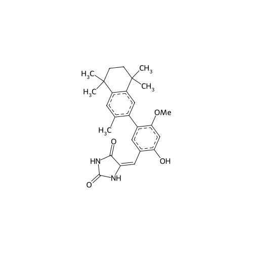 COc1cc(O)c(/C=C2/NC(=O)NC2=O)cc1-c1cc2c(cc1C)C(C)(C)CCC2(C)C